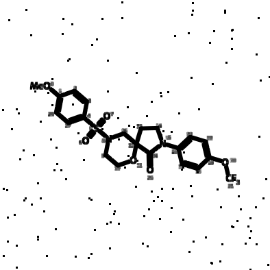 COc1ccc(S(=O)(=O)N2CCOC3(CCN(c4ccc(OC(F)(F)F)cc4)C3=O)C2)cc1